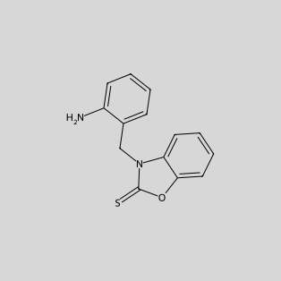 Nc1ccccc1Cn1c(=S)oc2ccccc21